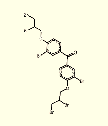 O=C(c1ccc(OCC(Br)CBr)c(Br)c1)c1ccc(OCC(Br)CBr)c(Br)c1